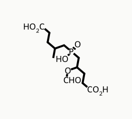 CC(CCC(=O)O)CP(=O)(O)CC(CCC(=O)O)OC=O